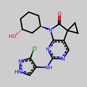 O=C1N([C@@H]2CCC[C@@H](O)C2)c2nc(Nc3c[nH]nc3Cl)ncc2C12CC2